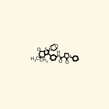 CC1(C)CC(=O)c2sc(N3CCOCC3)c(-c3cccc(NC(=O)C4CCN(c5ccccc5)C4=O)c3)c2C1